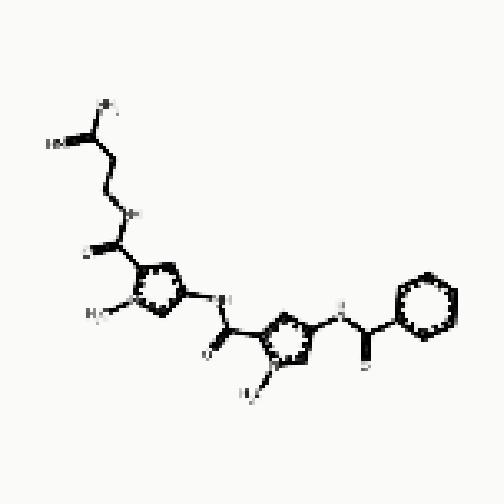 Cn1cc(NC(=O)c2cc(NC(=O)c3ccccc3)cn2C)cc1C(=O)NCCC(=N)N